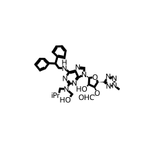 CC(C)CN(CO)c1nc(NCC(c2ccccc2)c2ccccc2)c2ncn([C@@H]3O[C@H](c4nnn(C)n4)[C@@H](OC=O)[C@H]3O)c2n1